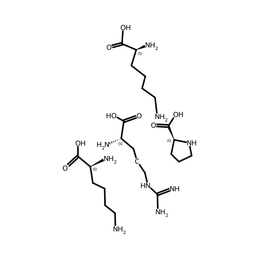 N=C(N)NCCC[C@H](N)C(=O)O.NCCCC[C@H](N)C(=O)O.NCCCC[C@H](N)C(=O)O.O=C(O)[C@@H]1CCCN1